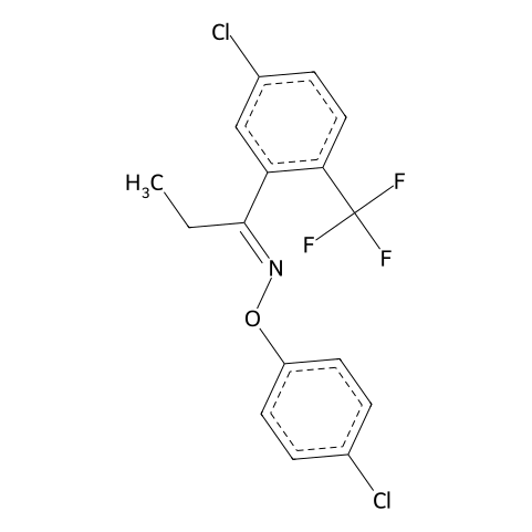 CC/C(=N\Oc1ccc(Cl)cc1)c1cc(Cl)ccc1C(F)(F)F